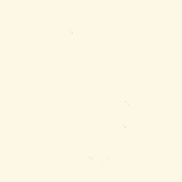 C[C@@](CO)(NCc1cc(Cl)c(O[C@H]2CCc3c(-c4cccc(OCCCN5CCC(O)CC5)c4F)cccc32)cc1OCc1cncc(C#N)c1)C(=O)O